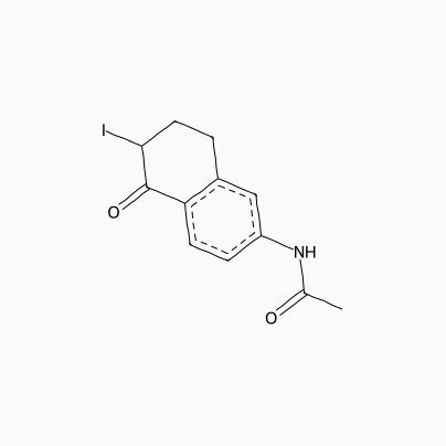 CC(=O)Nc1ccc2c(c1)CCC(I)C2=O